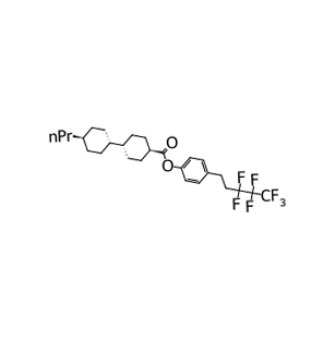 CCC[C@H]1CC[C@H]([C@H]2CC[C@H](C(=O)Oc3ccc(CCC(F)(F)C(F)(F)C(F)(F)F)cc3)CC2)CC1